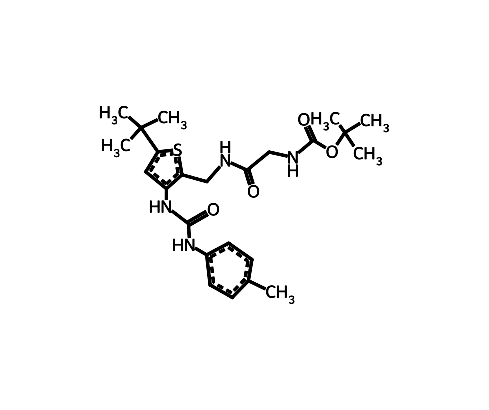 Cc1ccc(NC(=O)Nc2cc(C(C)(C)C)sc2CNC(=O)CNC(=O)OC(C)(C)C)cc1